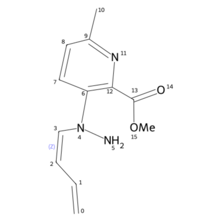 C=C/C=C\N(N)c1ccc(C)nc1C(=O)OC